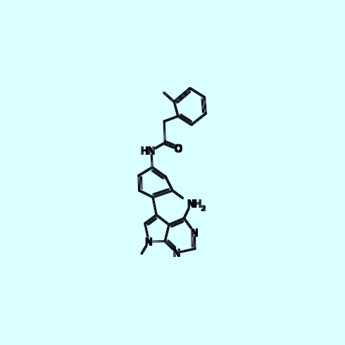 Cc1ccccc1CC(=O)Nc1ccc(-c2cn(C)c3ncnc(N)c23)c(C)c1